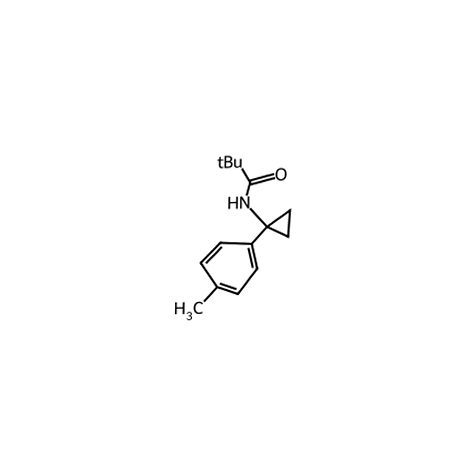 Cc1ccc(C2(NC(=O)C(C)(C)C)CC2)cc1